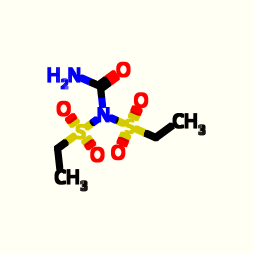 CCS(=O)(=O)N(C(N)=O)S(=O)(=O)CC